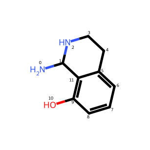 NC1NCCc2cccc(O)c21